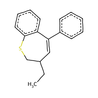 CCC1C=C(c2ccccc2)c2ccccc2SC1